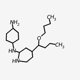 CCCCOC(CCC)C1C[CH]NC(NC2CCC(N)CC2)C1